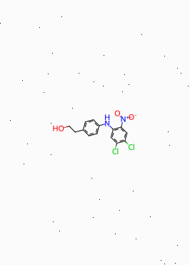 O=[N+]([O-])c1cc(Cl)c(Cl)cc1Nc1ccc(CCO)cc1